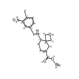 Cc1ccc(CNC2CCN(C(=O)OC(C)(C)C)CC23COC3)cc1[N+](=O)[O-]